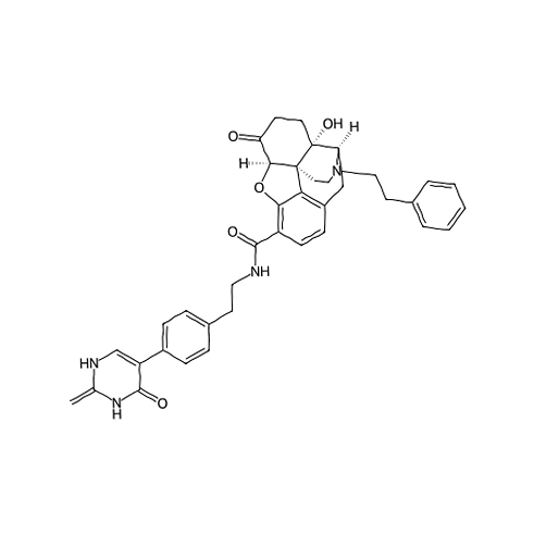 C=C1NC=C(c2ccc(CCNC(=O)c3ccc4c5c3O[C@H]3C(=O)CC[C@@]6(O)[C@@H](C4)N(CCc4ccccc4)CC[C@]536)cc2)C(=O)N1